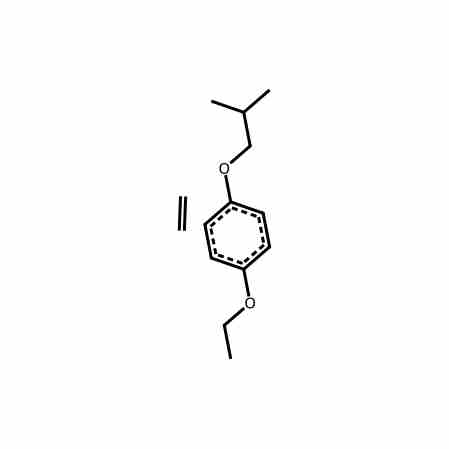 C=C.CCOc1ccc(OCC(C)C)cc1